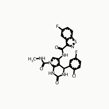 CNC(=O)n1cc(NC(=O)c2nsc3ccc(F)cc23)c2c1NC(=O)NC2c1cc(F)ccc1Cl